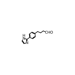 O=CCCCc1ccc(-c2ncc[nH]2)cc1